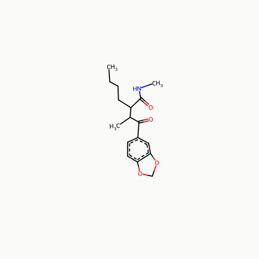 CCCCC(C(=O)NC)C(C)C(=O)c1ccc2c(c1)OCO2